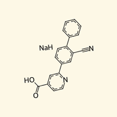 N#Cc1cc(-c2cc(C(=O)O)ccn2)ccc1-c1ccccc1.[NaH]